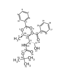 C[C@@H](OC(=O)c1ccccc1)[C@@H](OC(=O)c1ccccc1)[C@H](CO)NC(=O)OC(C)(C)C